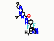 Cn1cnnc1[C@@H](F)[C@@](C)(F)c1cccc(NC(=O)c2cc(CN3CCC4(CC4)C3)nc(C3CC3)n2)c1